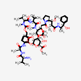 CC[C@H](C)[C@@H]([C@@H](CC(=O)N1CCC[C@H]1[C@H](OC)[C@@H](C)C(=O)N[C@H](C)[C@@H](O)c1ccccc1)OC)N(C)C(=O)[C@@H](NC(=O)[C@H](C(C)C)N(C)C(=O)OCc1ccc(NC(=O)[C@H](C)NC(=O)[C@@H](N)C(C)C)c(O[C@@H]2O[C@H](C(=O)OC)[C@@H](O)[C@H](OC(C)=O)[C@H]2OC(C)=O)c1)C(C)C